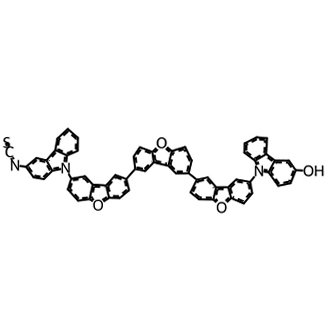 Oc1ccc2c(c1)c1ccccc1n2-c1ccc2oc3ccc(-c4ccc5oc6ccc(-c7ccc8oc9ccc(-n%10c%11ccccc%11c%11cc(N=C=S)ccc%11%10)cc9c8c7)cc6c5c4)cc3c2c1